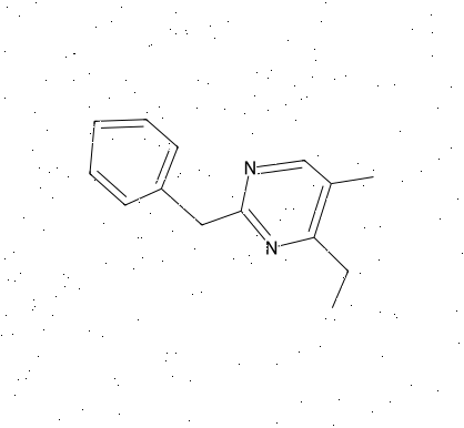 CCc1nc(Cc2ccccc2)ncc1C